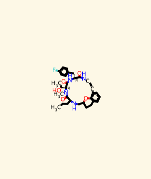 CCCC1NCC2CCc3cccc(c3O2)CCCNC(=O)[C@@H](Cc2ccc(F)cc2)NC(=O)[C@H](C(C)O)N(C)C1=O